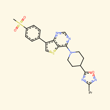 CC(C)c1noc(C2CCN(c3ncnc4c(-c5ccc(S(C)(=O)=O)cc5)csc34)CC2)n1